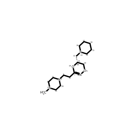 CN1CCN(CCC2=NOC[C@@H](CN3CCCCC3)O2)CC1